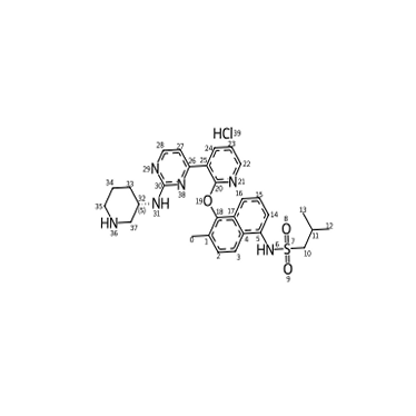 Cc1ccc2c(NS(=O)(=O)CC(C)C)cccc2c1Oc1ncccc1-c1ccnc(N[C@H]2CCCNC2)n1.Cl